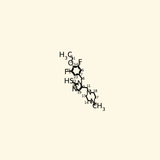 CCOc1c(F)cc(Cn2c(CN3CCN(C)CC3)cnc2S)cc1F